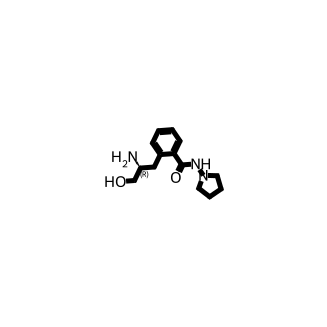 N[C@@H](CO)Cc1ccccc1C(=O)NN1CCCC1